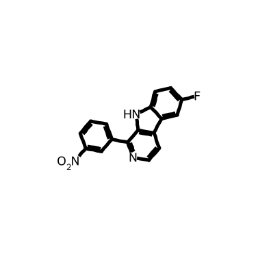 O=[N+]([O-])c1cccc(-c2nccc3c2[nH]c2ccc(F)cc23)c1